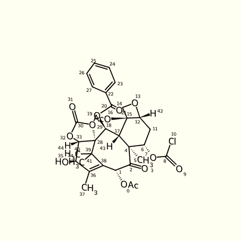 CC(=O)O[C@H]1C(=O)[C@]2(C)[C@@H](OC(=O)Cl)C[C@H]3OC[C@@]3(OC(C)=O)[C@H]2[C@H](OC(=O)c2ccccc2)[C@]23OC(=O)O[C@H]2[C@H](O)C(C)=C1C3(C)C